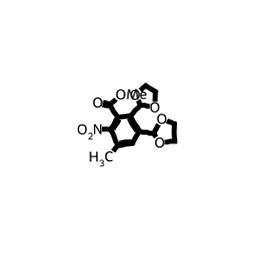 COC(=O)c1c(C2OCCO2)c(C2OCCO2)cc(C)c1[N+](=O)[O-]